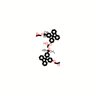 CCCCCC(C)(OCC1CO1)c1ccc(C2(c3ccc(OC(O)COC(C)(CCCC)c4ccc(C5(c6ccc(OCC7CO7)cc6)c6ccccc6-c6ccccc65)cc4)cc3)c3ccccc3-c3ccccc32)cc1